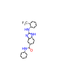 O=C(Nc1ccccc1)c1ccc2[nH]c(Nc3ccccc3C(F)(F)F)nc2c1